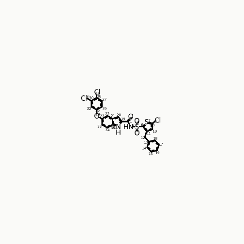 O=C(NS(=O)(=O)c1sc(Cl)cc1Cc1ccccc1)c1cc2cc(Oc3ccc(Cl)c(Cl)c3)ccc2[nH]1